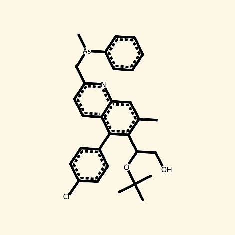 Cc1cc2nc(C[As](C)c3ccccc3)ccc2c(-c2ccc(Cl)cc2)c1C(CO)OC(C)(C)C